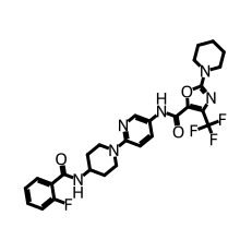 O=C(NC1CCN(c2ccc(NC(=O)c3oc(N4CCCCC4)nc3C(F)(F)F)cn2)CC1)c1ccccc1F